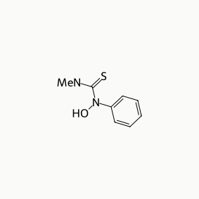 CNC(=S)N(O)c1ccccc1